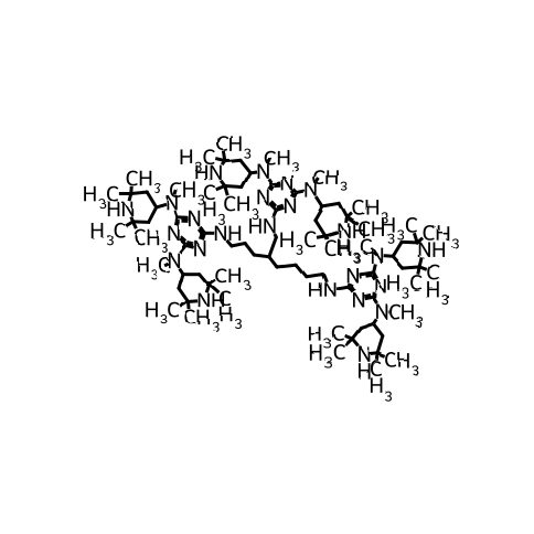 CN(c1nc(NCCCCC(CCCNc2nc(N(C)C3CC(C)(C)NC(C)(C)C3)nc(N(C)C3CC(C)(C)NC(C)(C)C3)n2)CNc2nc(N(C)C3CC(C)(C)NC(C)(C)C3)nc(N(C)C3CC(C)(C)NC(C)(C)C3)n2)nc(N(C)C2CC(C)(C)NC(C)(C)C2)n1)C1CC(C)(C)NC(C)(C)C1